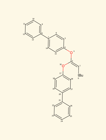 CC(C)(C)C=C(Oc1ccc(-c2ccccc2)cc1)Oc1ccc(-c2ccccc2)cc1